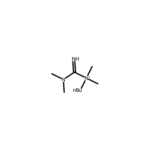 CCCC[N+](C)(C)C(=N)N(C)C